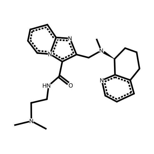 CN(C)CCNC(=O)c1c(CN(C)[C@H]2CCCc3cccnc32)nc2ccccn12